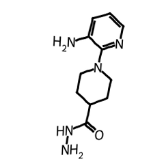 NNC(=O)C1CCN(c2ncccc2N)CC1